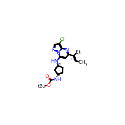 C/C=C(\CC)c1cc(N[C@H]2CC[C@H](NC(=O)OC(C)(C)C)C2)n2ncc(Cl)c2n1